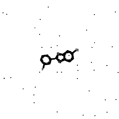 CCc1ccc2nc(-c3cccc(F)c3)oc2c1